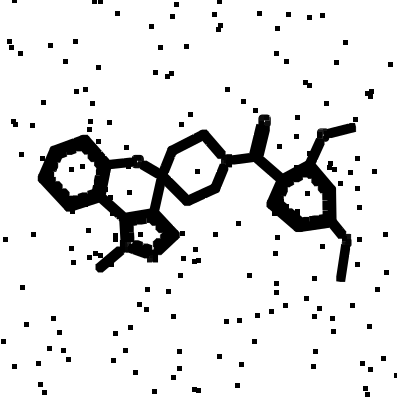 COc1cc(SC)ccc1C(=O)N1CCC2(CC1)Oc1ccccc1-c1c2cnn1C